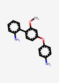 COc1cc(Oc2ccc(N)cc2)ccc1-c1ccccc1N